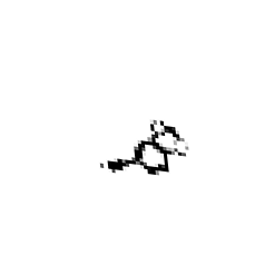 [C]#Cc1ccc2c(c1)OCO2